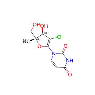 N#C[C@]1(CO)OC(n2ccc(=O)[nH]c2=O)=C(Cl)[C@@H]1O